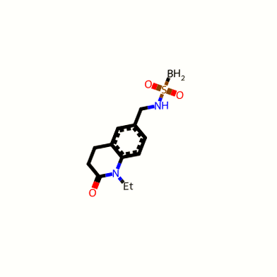 BS(=O)(=O)NCc1ccc2c(c1)CCC(=O)N2CC